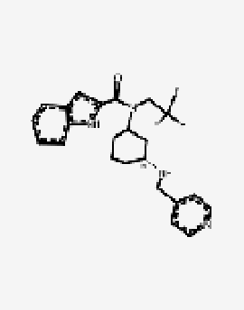 O=C(c1cc2ccccc2[nH]1)N(CC(F)(F)F)C1CCC[C@@H](NCc2ccncc2)C1